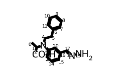 CC(C(=O)O)N(CCc1ccccc1)c1cccc(C=NN)c1